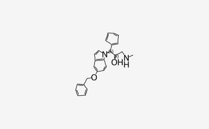 CNC[C@@H](O)[C@H](c1ccccc1)n1ccc2cc(OCc3ccccc3)ccc21